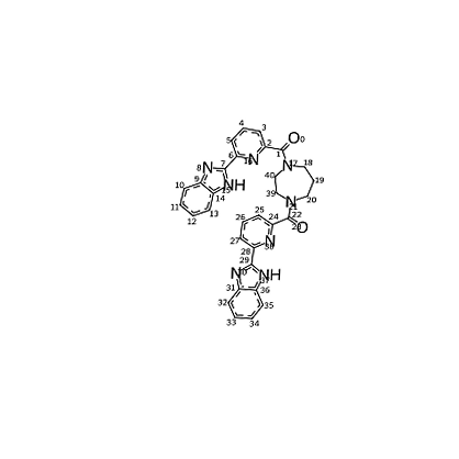 O=C(c1cccc(-c2nc3ccccc3[nH]2)n1)N1CCCN(C(=O)c2cccc(-c3nc4ccccc4[nH]3)n2)CC1